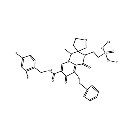 CCOP(=O)(CCN1C(=O)c2c(OCc3ccccc3)c(=O)c(C(=O)NCc3ccc(F)cc3F)cn2N(C)C12CCOC2)OCC